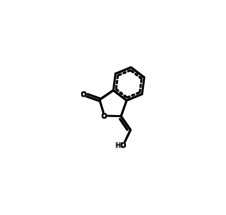 O=C1OC(=CO)c2ccccc21